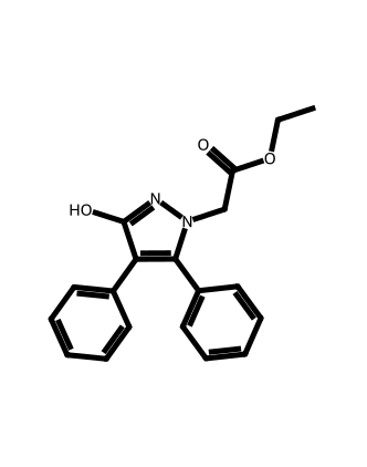 CCOC(=O)Cn1nc(O)c(-c2ccccc2)c1-c1ccccc1